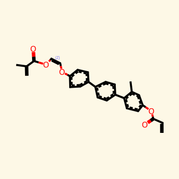 C=CC(=O)Oc1ccc(-c2ccc(-c3ccc(O/C=C\OC(=O)C(=C)C)cc3)cc2)c(C)c1